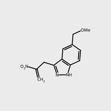 C=C(Cc1n[nH]c2ccc(COC)cc12)[N+](=O)[O-]